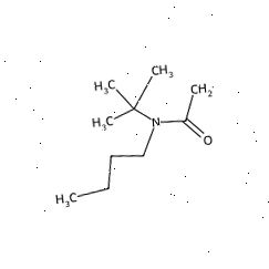 [CH2]C(=O)N(CCCC)C(C)(C)C